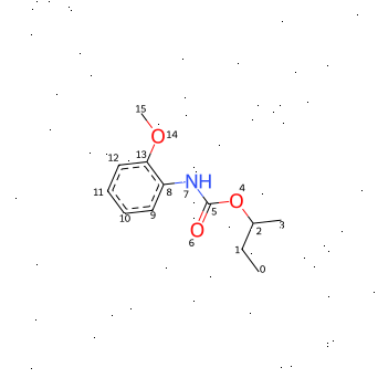 CCC(C)OC(=O)Nc1ccccc1OC